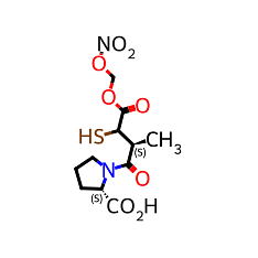 C[C@@H](C(=O)N1CCC[C@H]1C(=O)O)C(S)C(=O)OCO[N+](=O)[O-]